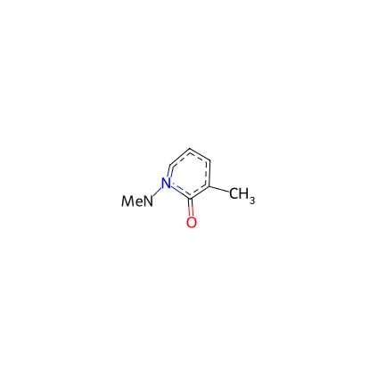 CNn1cccc(C)c1=O